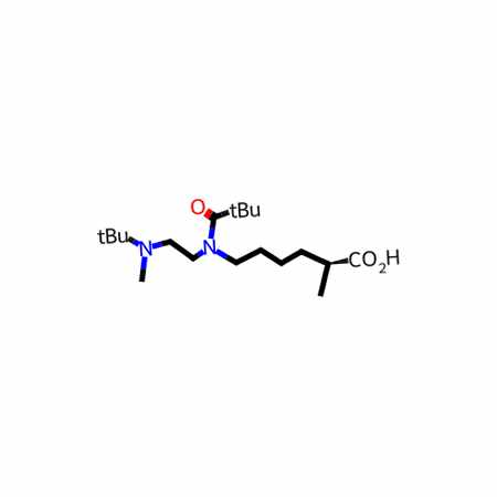 C[C@@H](CCCCN(CCN(C)C(C)(C)C)C(=O)C(C)(C)C)C(=O)O